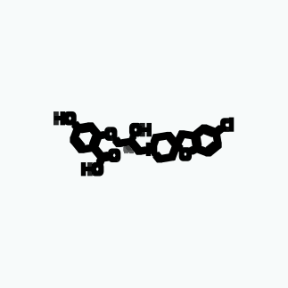 O=C(O)c1ccc(O)cc1OC[C@@H](O)CN1CCC2(CC1)Cc1cc(Cl)ccc1O2